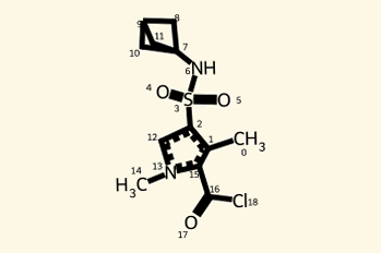 Cc1c(S(=O)(=O)NC23CC(C2)C3)cn(C)c1C(=O)Cl